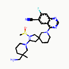 C[S+]([O-])NCC1(CCN2CCCC(C)(CN)C2)CCCN(c2ncnc3cc(F)c(C#N)cc23)C1